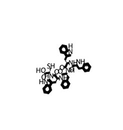 N[C@@H](Cc1ccccc1)C(=O)N[C@@H](Cc1c[nH]c2ccccc12)C(=O)N[C@@H](Cc1ccccc1)C(=O)N[C@@H](Cc1c[nH]c2ccccc12)C(=O)N[C@@H](CS)C(=O)O